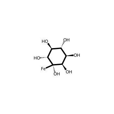 O[C@@H]1[C@@H](O)[C@@H](O)[C@@](O)([Fe])[C@H](O)[C@H]1O